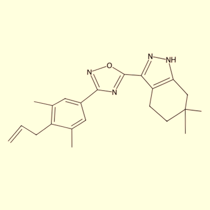 C=CCc1c(C)cc(-c2noc(-c3n[nH]c4c3CCC(C)(C)C4)n2)cc1C